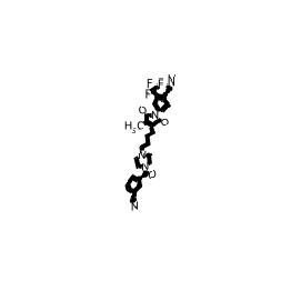 CC1=C(CCCCN2CCN(C(=O)c3cccc(C#N)c3)CC2)C(=O)N(c2ccc(C#N)c(C(F)(F)F)c2)C1=O